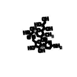 C[C@@H]1C(O)C[C@H](C(O)P(=O)(O)OC[C@H]2O[C@@H](n3ccc(N)nc3=O)C(O)[C@H]2O)OC1[C@H](O)[C@H](O)CO